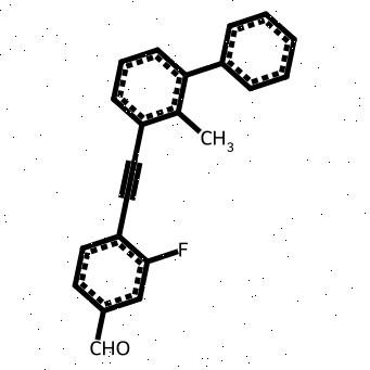 Cc1c(C#Cc2ccc(C=O)cc2F)cccc1-c1ccccc1